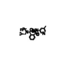 CCCN(CC1CC1)C(=O)c1ccccc1S(=O)(=O)Nc1cncc(C)c1